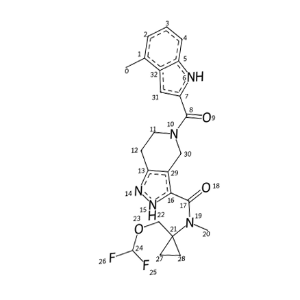 Cc1cccc2[nH]c(C(=O)N3CCc4n[nH]c(C(=O)N(C)C5(COC(F)F)CC5)c4C3)cc12